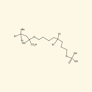 CCCCC(CC)(CC)CC(O)(OCCCCC(CC)(CC)CCCOP(=O)(O)O)C(=O)O